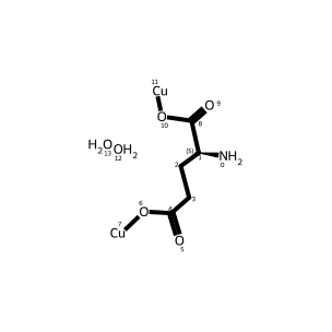 N[C@@H](CCC(=O)[O][Cu])C(=O)[O][Cu].O.O